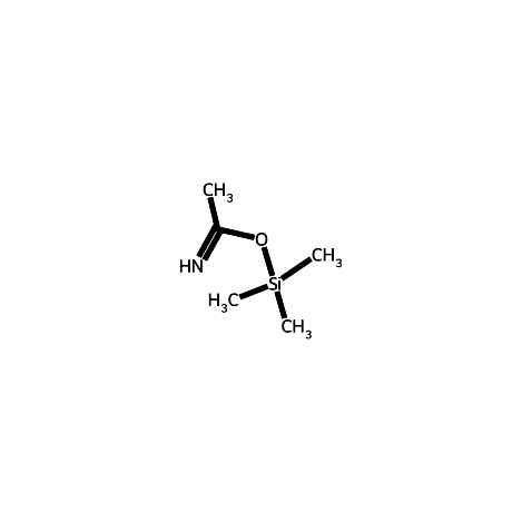 CC(=N)O[Si](C)(C)C